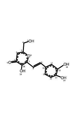 O=c1cc(CO)oc(/C=C/c2ccc(O)c(O)c2)c1O